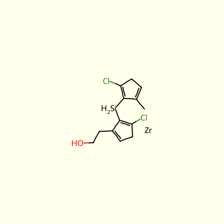 CC1=CCC(Cl)=C1[SiH2]C1=C(Cl)CC=C1CCO.[Zr]